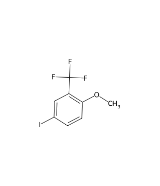 COc1ccc(I)cc1C(F)(F)F